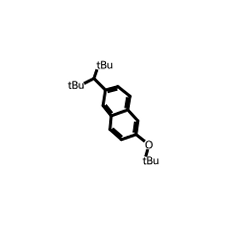 CC(C)(C)Oc1ccc2cc(C(C(C)(C)C)C(C)(C)C)ccc2c1